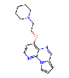 c1cc2cnc3c(OCCN4CCCCC4)ccnc3n2c1